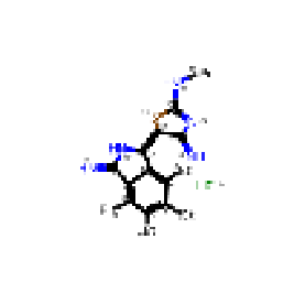 CCc1c(CC)c(CC)c2c(c1CC)C(=N)NC2=C1SC(NC(C)C)=NC1=N.Cl